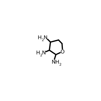 NC1CCOC(N)C1N